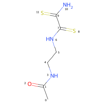 CC(=O)NCCNC(=S)C(N)=S